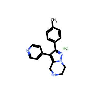 Cc1ccc(-c2nn3c(c2-c2ccncc2)CNCC3)cc1.Cl